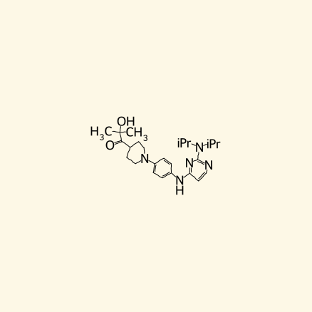 CC(C)N(c1nccc(Nc2ccc(N3CCC(C(=O)C(C)(C)O)CC3)cc2)n1)C(C)C